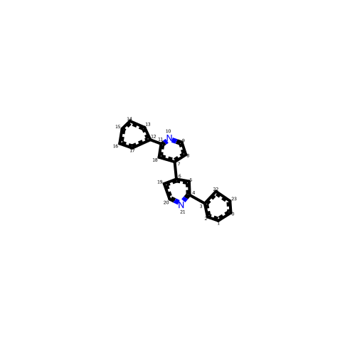 c1ccc(-c2cc(-c3ccnc(-c4ccccc4)c3)ccn2)cc1